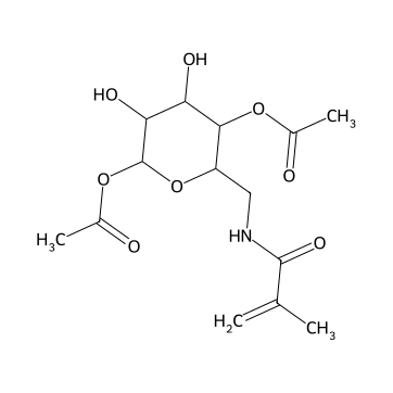 C=C(C)C(=O)NCC1OC(OC(C)=O)C(O)C(O)C1OC(C)=O